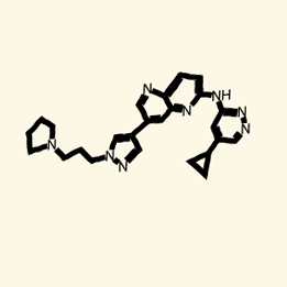 c1nc2ccc(Nc3cc(C4CC4)cnn3)nc2cc1-c1cnn(CCCN2CCCC2)c1